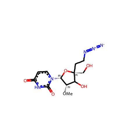 CO[C@H]1C(O)[C@](CO)(CCN=[N+]=[N-])O[C@H]1n1ccc(=O)[nH]c1=O